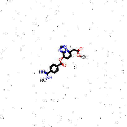 CC(C)(C)OC(=O)Cc1ccc(OC(=O)c2ccc(C(=N)NC#N)cc2)c2ncnn12